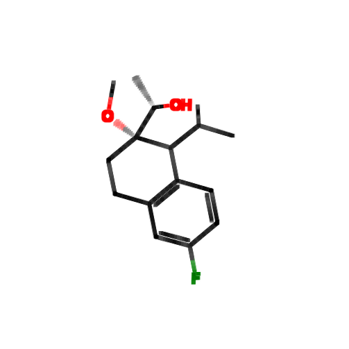 CO[C@@]1([C@H](C)O)CCc2cc(F)ccc2C1C(C)C